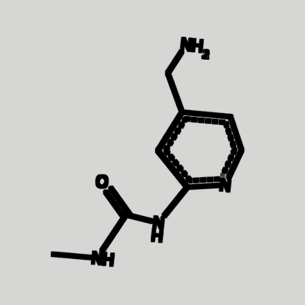 CNC(=O)Nc1cc(CN)ccn1